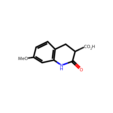 COc1ccc2c(c1)NC(=O)C(C(=O)O)C2